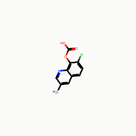 Cc1cnc2c(OC(=O)O)c(Cl)ccc2c1